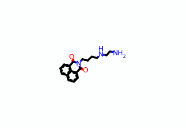 NCCNCCCCN1C(=O)c2cccc3cccc(c23)C1=O